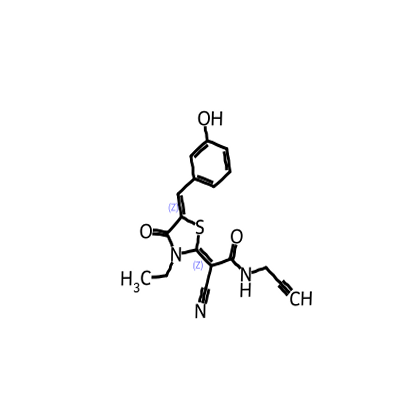 C#CCNC(=O)/C(C#N)=c1\s/c(=C\c2cccc(O)c2)c(=O)n1CC